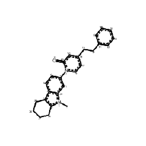 Cn1c2c(c3ccc(-n4ccc(CCc5ccccc5)cc4=O)cc31)CCCC2